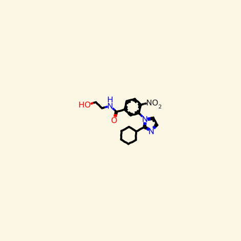 O=C(NCCO)c1ccc([N+](=O)[O-])c(-n2ccnc2C2CCCCC2)c1